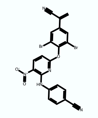 C=C(C#N)c1cc(Br)c(Oc2ccc([N+](=O)[O-])c(Nc3ccc(C#N)cc3)n2)c(Br)c1